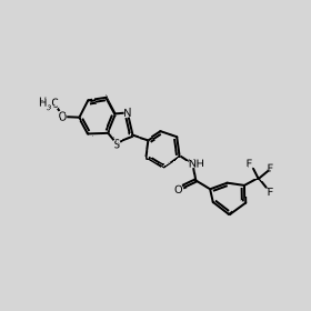 COc1ccc2nc(-c3ccc(NC(=O)c4cccc(C(F)(F)F)c4)cc3)sc2c1